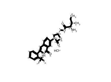 CC[C@H](C)[C@H](N)C(=O)OC[C@H]1CN(c2ccc3cc(-c4ccccc4C(F)(F)F)[nH]c(=O)c3c2)C(=O)O1.Cl